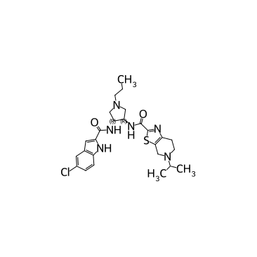 CCCN1C[C@@H](NC(=O)c2cc3cc(Cl)ccc3[nH]2)[C@H](NC(=O)c2nc3c(s2)CN(C(C)C)CC3)C1